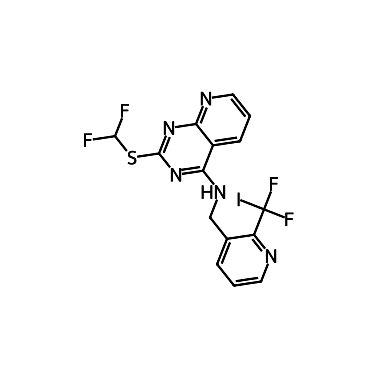 FC(F)Sc1nc(NCc2cccnc2C(F)(F)I)c2cccnc2n1